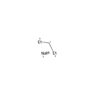 CCCCC.[NaH]